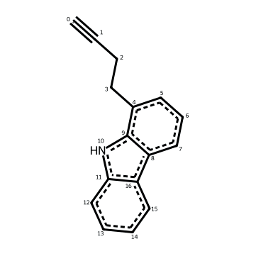 [C]#CCCc1cccc2c1[nH]c1ccccc12